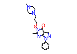 Cc1nc2c(cnn2-c2ccccc2)c(=O)n1OCCCN1CCN(C)CC1